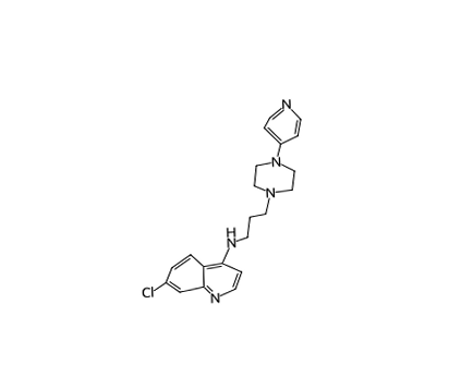 Clc1ccc2c(NCCCN3CCN(c4ccncc4)CC3)ccnc2c1